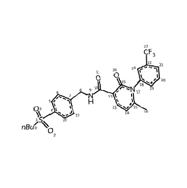 CCCCS(=O)(=O)c1ccc(CNC(=O)c2ccc(C)n(-c3cccc(C(F)(F)F)c3)c2=O)cc1